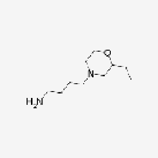 CCC1CN(CCCCN)CCO1